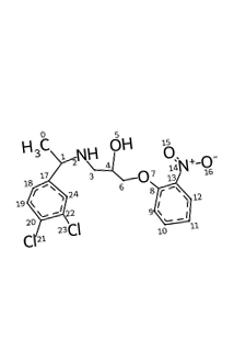 CC(NCC(O)COc1ccccc1[N+](=O)[O-])c1ccc(Cl)c(Cl)c1